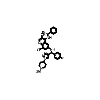 CC[C@@H](Nc1c(C#N)cnc2c(Cl)cc(N[C@@H](c3ccc(F)cc3)c3cn(C4CCN(C(C)(C)C)CC4)nn3)cc12)c1ccccc1